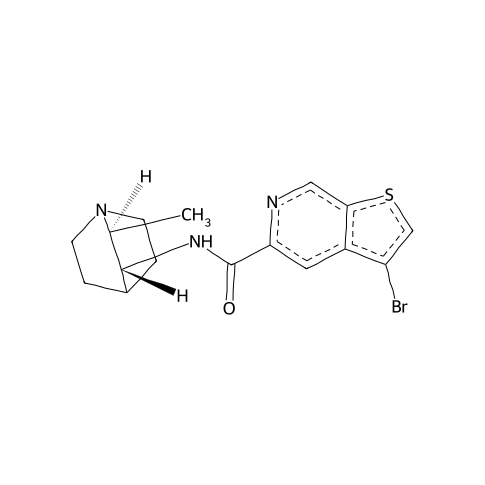 C[C@H]1[C@H](NC(=O)c2cc3c(Br)csc3cn2)C2CCN1CC2